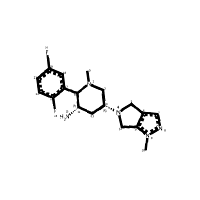 CN1C[C@H](N2Cc3cnn(C)c3C2)C[C@H](N)C1c1cc(F)ccc1F